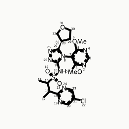 COc1ncnc(OC)c1-n1c(NS(=O)(=O)C(C)C(C)c2ncc(Cl)cn2)nnc1[C@@H]1CCOC1